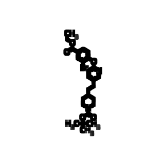 CCOC(=O)c1ccc(Oc2ccc(CCC3CCN(C(=O)OC(C)(C)C)CC3)cn2)c(Br)c1